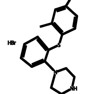 Br.Cc1ccc(Sc2ccccc2N2CCNCC2)c(C)c1